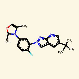 CC1=COC(C)N1c1ccc(F)c(-n2cc3cc(C(C)(C)C)cnc3n2)c1